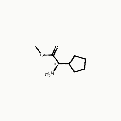 COC(=O)[C@H](N)C1CCCC1